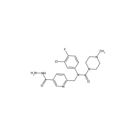 CN1CCN(C(=O)N(Cc2ccc(C(=O)NN)cn2)c2ccc(F)c(Cl)c2)CC1